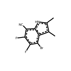 Cc1[nH]c2c(C#N)c(F)c(F)c(Br)c2c1C